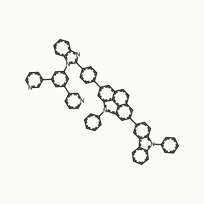 c1ccc(-n2c3ccccc3c3cc(-c4cc5ccc6cc(-c7ccc(-c8nc9ccccc9n8-c8cc(-c9cccnc9)cc(-c9cccnc9)c8)cc7)cc7c6c5c(c4)n7-c4ccccc4)ccc32)cc1